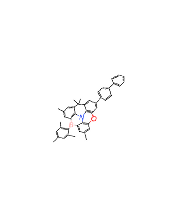 Cc1cc(C)c(B2c3cc(C)cc4c3N3c5c(cc(-c6ccc(-c7ccccc7)cc6)cc5C(C)(C)c5cc(C)cc2c53)O4)c(C)c1